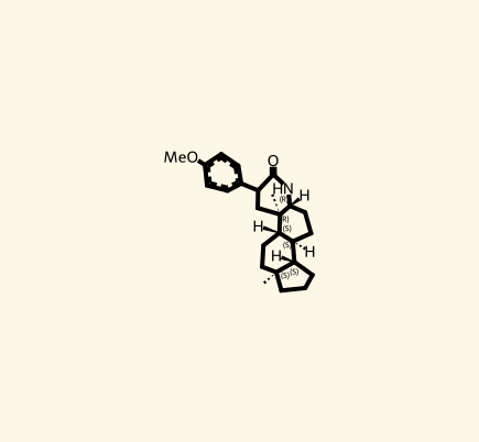 COc1ccc(C2C[C@@]3(C)[C@@H](CC[C@H]4[C@@H]5CCC[C@@]5(C)CC[C@@H]43)NC2=O)cc1